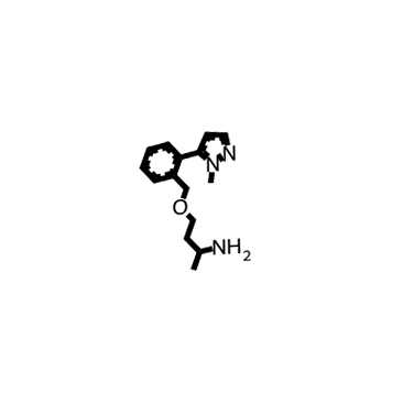 CC(N)CCOCc1ccccc1-c1ccnn1C